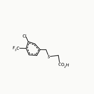 O=C(O)CSCc1ccc(C(F)(F)F)c(Cl)c1